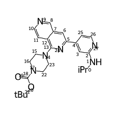 CC(C)Nc1cc(-c2cc3cnccc3c(N3CCN(C(=O)OC(C)(C)C)CC3)n2)ccn1